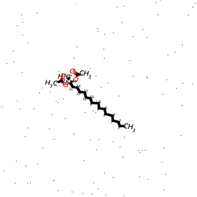 CCCCCCCCCCCCCCCC[Si](C)(OC(C)=O)OC(C)=O